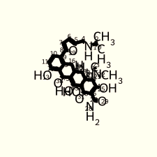 CC(C)NCc1ccc(-c2ccc(O)c3c2C[C@H]2C[C@H]4C(N(C)C)C(O)=C(C(N)=O)C(=O)[C@@]4(O)C(O)=C2C3=O)o1